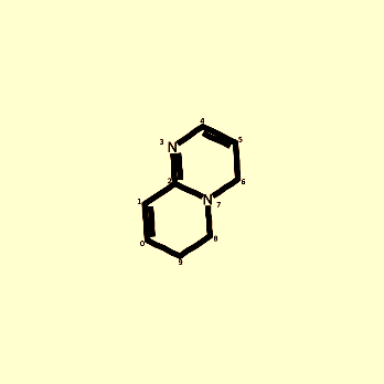 C1=CC2=NC=CCN2CC1